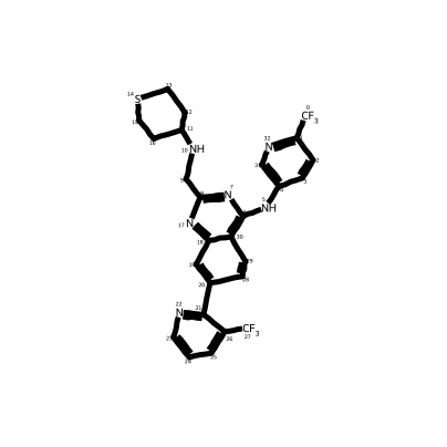 FC(F)(F)c1ccc(Nc2nc(CNC3CCSCC3)nc3cc(-c4ncccc4C(F)(F)F)ccc23)cn1